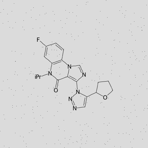 CC(C)n1c(=O)c2c(-n3nncc3C3CCCO3)ncn2c2ccc(F)cc21